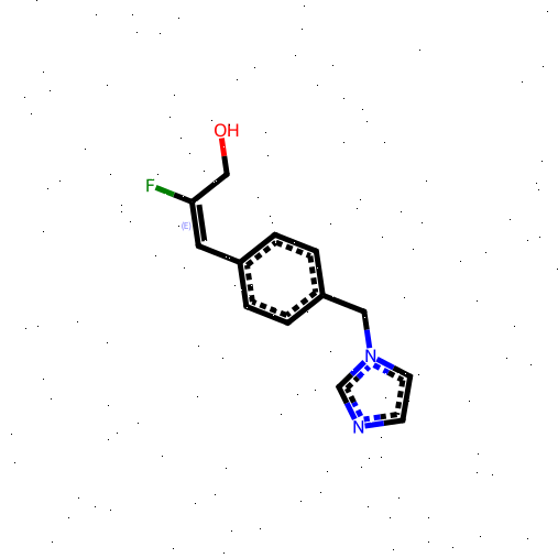 OC/C(F)=C\c1ccc(Cn2ccnc2)cc1